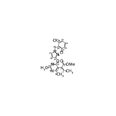 CC=C(C(=O)OC)c1c(C)nc(C)nc1Oc1ccn(Cc2c(Cl)cccc2Cl)n1